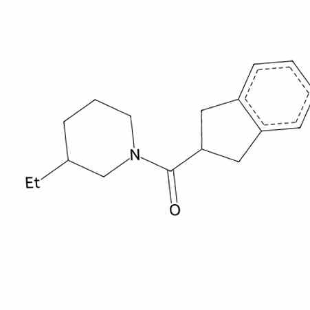 CCC1CCCN(C(=O)C2Cc3ccccc3C2)C1